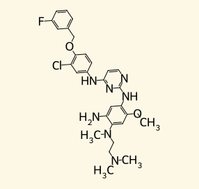 COc1cc(N(C)CCN(C)C)c(N)cc1Nc1nccc(Nc2ccc(OCc3cccc(F)c3)c(Cl)c2)n1